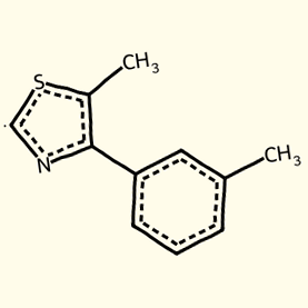 Cc1cccc(-c2n[c]sc2C)c1